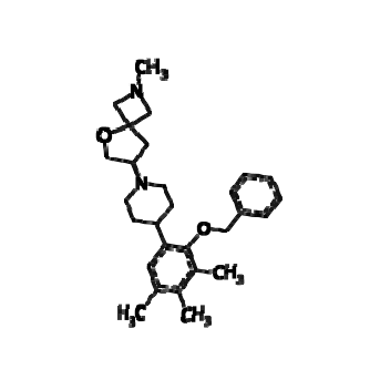 Cc1cc(C2CCN(C3COC4(C3)CN(C)C4)CC2)c(OCc2ccccc2)c(C)c1C